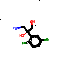 NC[C@@](O)(CO)c1cc(Br)ccc1F